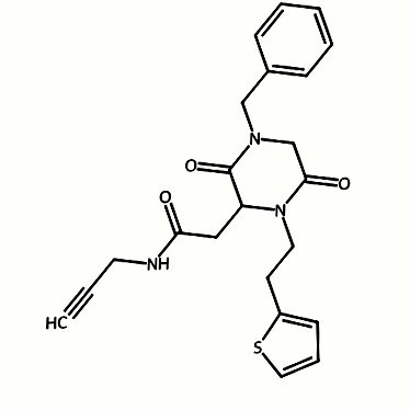 C#CCNC(=O)CC1C(=O)N(Cc2ccccc2)CC(=O)N1CCc1cccs1